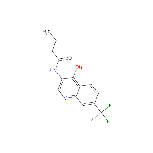 CCCC(=O)Nc1cnc2cc(C(F)(F)F)ccc2c1O